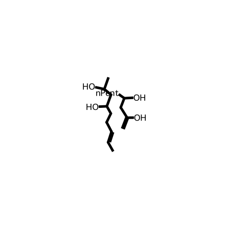 C=C(O)CC(O)CCCCC.CC=CCCC(O)CC(C)O